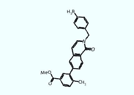 Bc1ccc(Cn2ccc3cc(-c4cc(C(=O)OC)ccc4C)ccc3c2=O)cc1